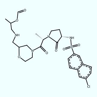 CC(CNCC1CN(C(=O)[C@H](C)N2CC[C@H](NS(=O)(=O)c3ccc4cc(Cl)ccc4c3)C2=O)CCO1)OC=O